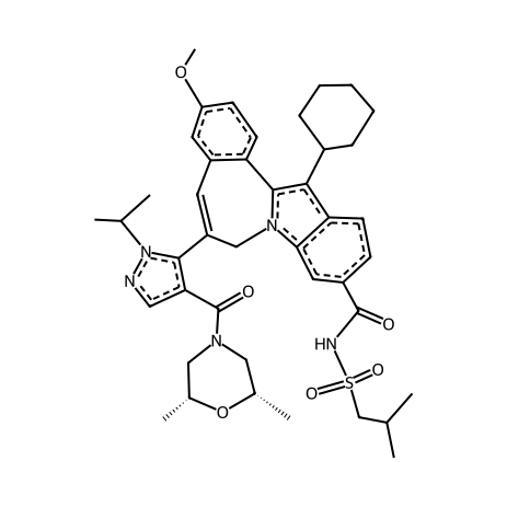 COc1ccc2c(c1)C=C(c1c(C(=O)N3C[C@@H](C)O[C@@H](C)C3)cnn1C(C)C)Cn1c-2c(C2CCCCC2)c2ccc(C(=O)NS(=O)(=O)CC(C)C)cc21